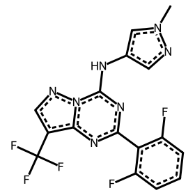 Cn1cc(Nc2nc(-c3c(F)cccc3F)nc3c(C(F)(F)F)cnn23)cn1